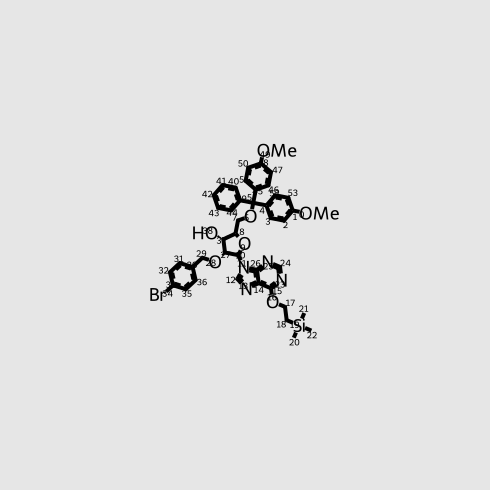 COc1ccc(C(OCC2OC(n3cnc4c(OCC[Si](C)(C)C)ncnc43)[C@H](OCc3ccc(Br)cc3)[C@@H]2O)(c2ccccc2)c2ccc(OC)cc2)cc1